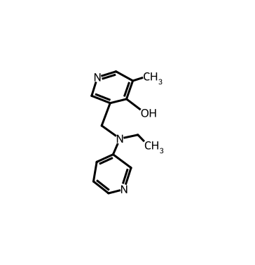 CCN(Cc1cncc(C)c1O)c1cccnc1